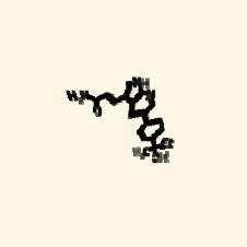 CCC(C)(O)c1ccc(-c2cnc3[nH]cc(C=CC(N)=O)c3c2)cc1